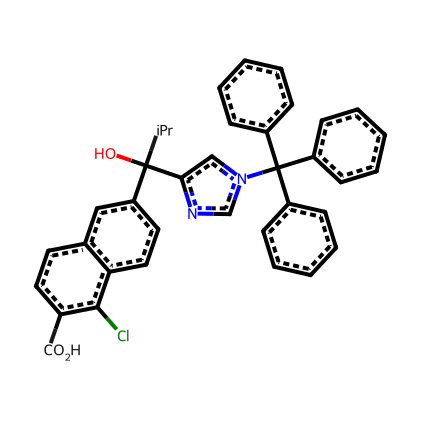 CC(C)C(O)(c1ccc2c(Cl)c(C(=O)O)ccc2c1)c1cn(C(c2ccccc2)(c2ccccc2)c2ccccc2)cn1